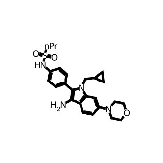 CCCS(=O)(=O)Nc1ccc(-c2c(N)c3ccc(N4CCOCC4)cc3n2CC2CC2)cc1